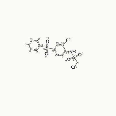 O=S(=O)(CCl)Nc1ccc(S(=O)(=O)c2ccccc2)cc1F